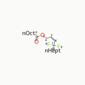 CCCCCCCCC(=O)OC/C=C\C(F)(F)CCCCCCC